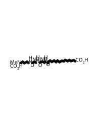 CN[C@@H](CCCCNC(=O)[C@@H](N)CNC(=O)[C@@H](N)CNC(=O)CCCCCCCCCCCCCCC(=O)O)C(=O)O